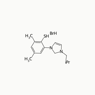 Br.Cc1cc(C)c(S)c(N2C=CN(CC(C)C)C2)c1